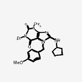 CCn1c(=O)c2c(nc(NC3CCCC3)n2Cc2ccc(OC)cc2)n(C)c1=O